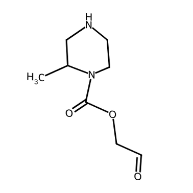 CC1CNCCN1C(=O)OCC=O